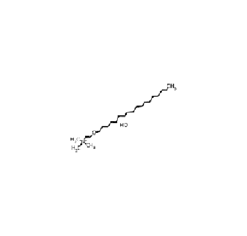 CCCCCCCCCCCCCCCCCCOC=C[N+](C)(C)C.[OH-]